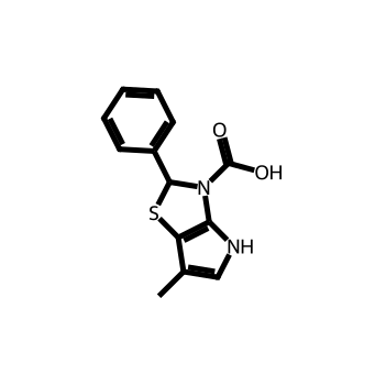 Cc1c[nH]c2c1SC(c1ccccc1)N2C(=O)O